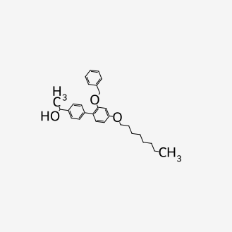 CCCCCCCCOc1ccc(-c2ccc(C(C)O)cc2)c(OCc2ccccc2)c1